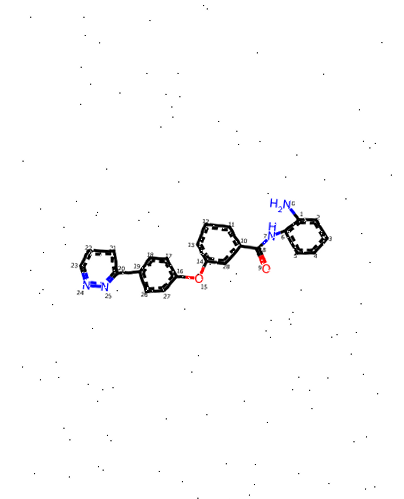 Nc1ccccc1NC(=O)c1cccc(Oc2ccc(-c3cccnn3)cc2)c1